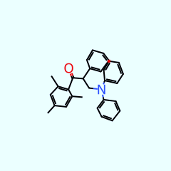 Cc1cc(C)c(C(=O)C(CN(c2ccccc2)c2ccccc2)c2ccccc2)c(C)c1